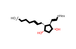 CCCCCC/C=C/[C@@H]1[C@@H](C/C=C/CCCC(=O)O)[C@@H](O)C[C@H]1O